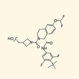 CS(C)(C)c1c(F)cc(NC(=O)[C@H]2c3ccc(OC(F)F)cc3CCN2C(=O)N2CC(CC(=O)O)C2)cc1F